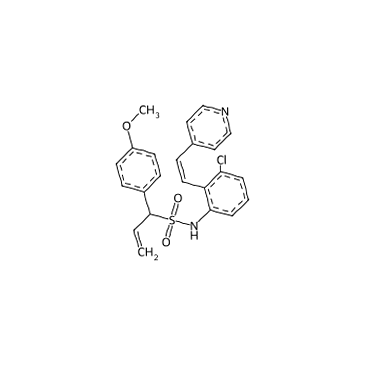 C=CC(c1ccc(OC)cc1)S(=O)(=O)Nc1cccc(Cl)c1C=Cc1ccncc1